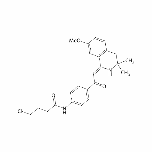 COc1ccc2c(c1)C(=CC(=O)c1ccc(NC(=O)CCCCl)cc1)NC(C)(C)C2